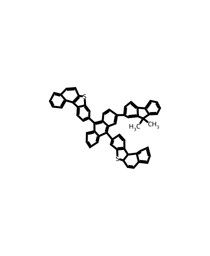 CC1(C)c2ccccc2-c2ccc(-c3ccc4c(-c5ccc6c(c5)sc5ccc7ccccc7c56)c5ccccc5c(-c5ccc6c(c5)SC5C=Cc7ccccc7C65)c4c3)cc21